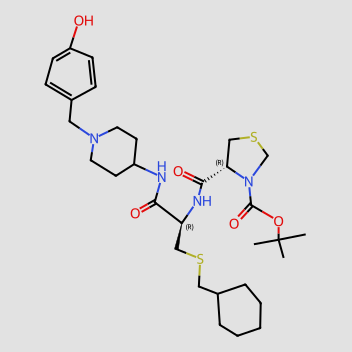 CC(C)(C)OC(=O)N1CSC[C@H]1C(=O)N[C@@H](CSCC1CCCCC1)C(=O)NC1CCN(Cc2ccc(O)cc2)CC1